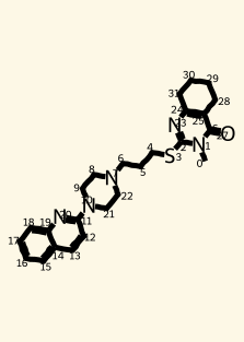 Cn1c(SCCCN2CCN(c3ccc4ccccc4n3)CC2)nc2c(c1=O)CCCC2